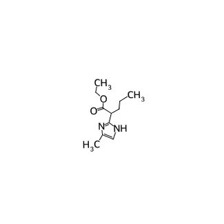 CCCC(C(=O)OCC)c1nc(C)c[nH]1